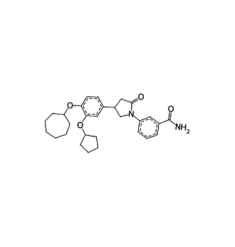 NC(=O)c1cccc(N2CC(c3ccc(OC4CCCCCC4)c(OC4CCCC4)c3)CC2=O)c1